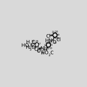 CC1(C)[C@@H](C(=O)N[C@@H](Cc2ccc(NC(=O)c3c(Cl)cccc3Cl)cc2)C(=O)O)CC[C@@]1(C)C(=O)O